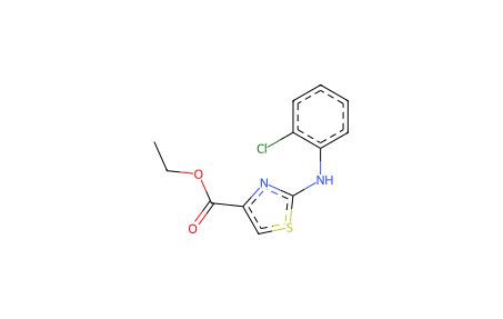 CCOC(=O)c1csc(Nc2ccccc2Cl)n1